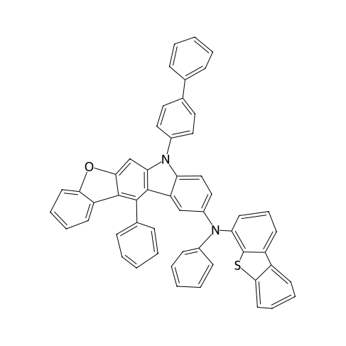 c1ccc(-c2ccc(-n3c4ccc(N(c5ccccc5)c5cccc6c5sc5ccccc56)cc4c4c(-c5ccccc5)c5c(cc43)oc3ccccc35)cc2)cc1